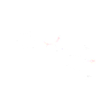 COc1ccc(/C=C/C(=O)OCc2ccccc2)c(OC)c1O